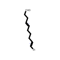 CC/C=C/CCC/C=C/CCC=O